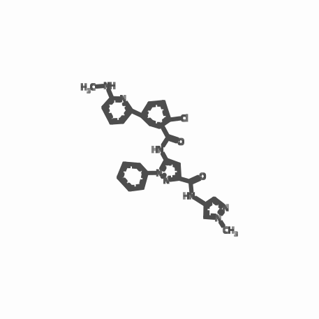 CNc1cccc(-c2ccc(Cl)c(C(=O)Nc3cc(C(=O)Nc4cnn(C)c4)nn3-c3ccccc3)c2)n1